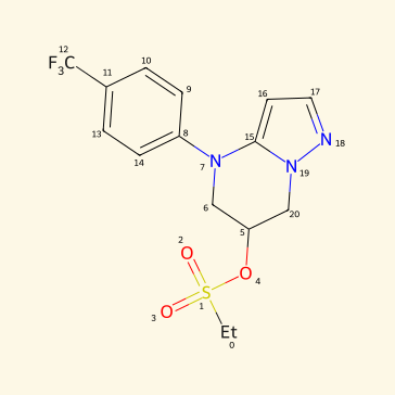 CCS(=O)(=O)OC1CN(c2ccc(C(F)(F)F)cc2)c2ccnn2C1